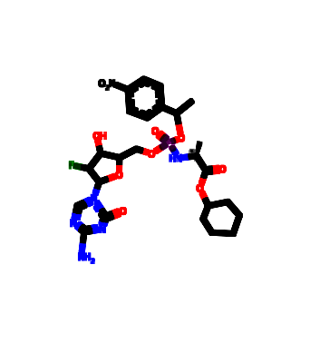 CC(OP(=O)(N[C@@H](C)C(=O)OC1CCCCC1)OCC1OC(n2cnc(N)nc2=O)C(F)C1O)c1ccc([N+](=O)[O-])cc1